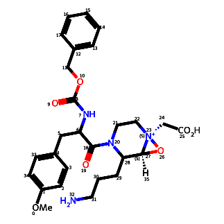 COc1ccc(CC(NC(=O)OCc2ccccc2)C(=O)N2CC[N@@+]3(CC(=O)O)O[C@H]3C2CCCN)cc1